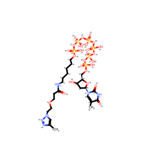 Cc1cn(CCOCCC(=O)NCCCCCCOP(=O)(O)OP(=O)(O)OP(=O)(O)OP(=O)(O)OP(=O)(O)OP(=O)(O)OC[C@H]2O[C@@H](n3cc(C)c(=O)[nH]c3=O)CC2O)nn1